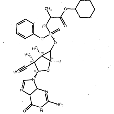 C#C[C@]1(O)[C@H](N2C=NC3C(=O)NC(N)=NC32)O[C@@H]2C(OP(=S)(NC(C)C(=O)OC3CCCCC3)Oc3ccccc3)[C@@]21O